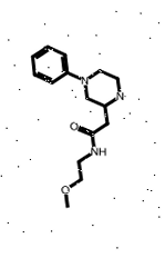 COCCNC(=O)CC1CN(c2ccccc2)CC[N]1